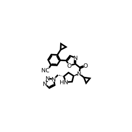 N#Cc1ccc(C2CC2)c(-c2cnc(C(=O)N(C3CC3)[C@H]3CN[C@H](Cn4ccnn4)C3)o2)c1